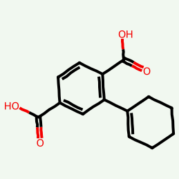 O=C(O)c1ccc(C(=O)O)c(C2=CCCCC2)c1